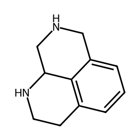 c1cc2c3c(c1)CNCC3NCC2